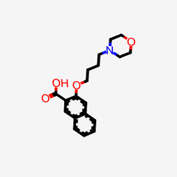 O=C(O)c1cc2ccccc2cc1OCCCCN1CCOCC1